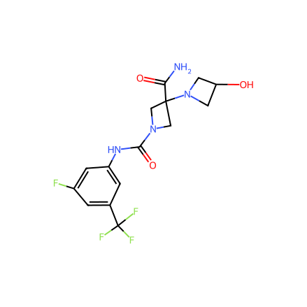 NC(=O)C1(N2CC(O)C2)CN(C(=O)Nc2cc(F)cc(C(F)(F)F)c2)C1